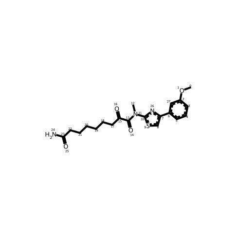 COc1cccc(-c2csc(N(C)C(=O)C(=O)CCCCCCC(N)=O)n2)c1